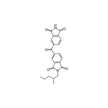 CCCC(C)CN1C(=O)c2ccc(C(=O)c3ccc4c(c3)C(=O)NC4=O)cc2C1=O